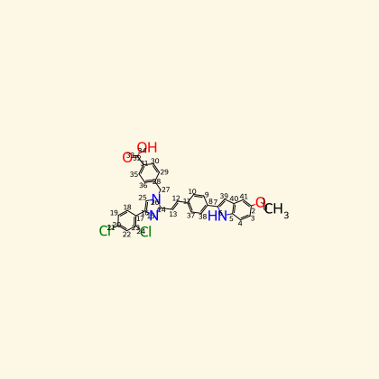 COc1ccc2[nH]c(-c3ccc(/C=C/c4nc(-c5ccc(Cl)cc5Cl)cn4Cc4ccc(C(=O)O)cc4)cc3)cc2c1